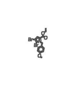 CCOC(=O)c1cc(Br)c(Br)n1Cc1ccc(OC)cc1